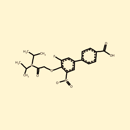 CC(C)N(C(=O)COc1c(F)cc(-c2ccc(C(=O)O)cc2)cc1[N+](=O)[O-])C(C)C